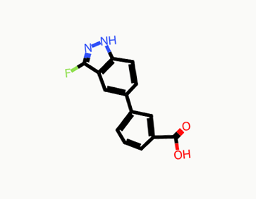 O=C(O)c1cccc(-c2ccc3[nH]nc(F)c3c2)c1